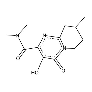 CC1CCn2c(nc(C(=O)N(C)C)c(O)c2=O)C1